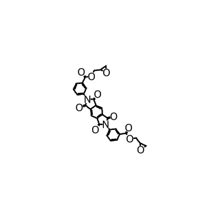 O=C(OCC1CO1)c1cccc(-n2c(=O)c3cc4c(=O)n(-c5cccc(C(=O)OCC6CO6)c5)c(=O)c4cc3c2=O)c1